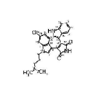 CN(C)CCCn1cc(C2=C(c3c[nH]c4ccccc34)C(=O)NC2=O)c2ccc(Cl)cc21